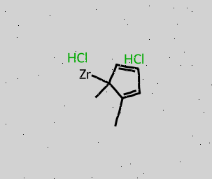 CC1=CC=C[C]1(C)[Zr].Cl.Cl